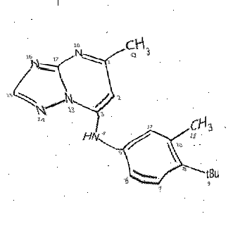 Cc1cc(Nc2ccc(C(C)(C)C)c(C)c2)n2ncnc2n1